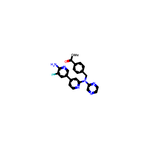 COC(=O)c1ccc(CN(c2cnccn2)c2cc(-c3cnc(N)c(F)c3)ccn2)cc1